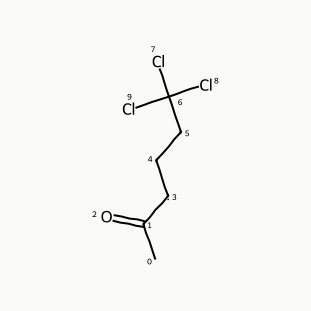 CC(=O)[CH]CCC(Cl)(Cl)Cl